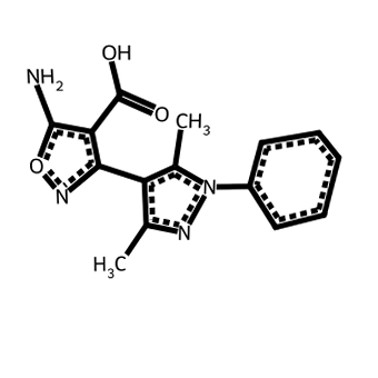 Cc1nn(-c2ccccc2)c(C)c1-c1noc(N)c1C(=O)O